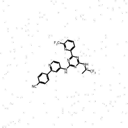 C[C@@H](Nc1nc(Nc2ccnc(-c3ccc(C#N)cc3)c2)nc(-c2cccc(C(F)(F)F)n2)n1)C(F)(F)F